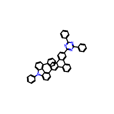 c1ccc(-c2nc(-c3ccccc3)nc(-c3ccc4c5ccc(-c6cccc7c6c6c(-c8ccccc8)cccc6n7-c6ccccc6)cc5c5ccccc5c4c3)n2)cc1